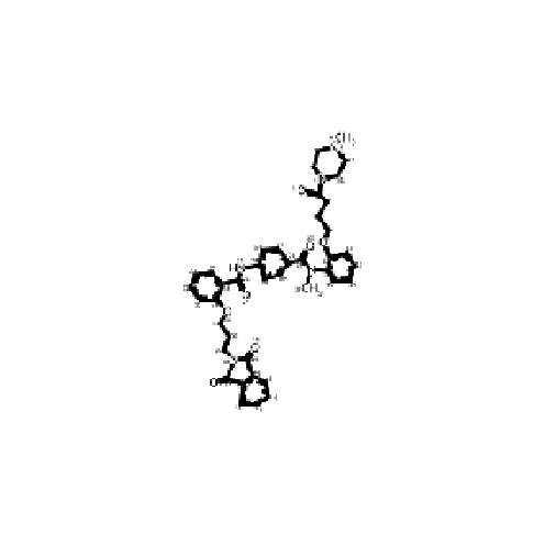 CN1CCN(C(=O)CCCOc2ccccc2N(C)C(=O)c2ccc(NC(=O)c3ccccc3OCCCN3C(=O)c4ccccc4C3=O)cc2)CC1